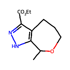 CCOC(=O)c1n[nH]c2c1CCCOC2C